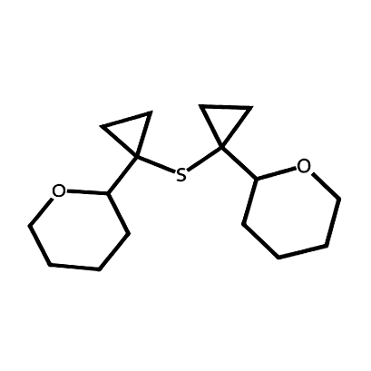 C1CCC(C2(SC3(C4CCCCO4)CC3)CC2)OC1